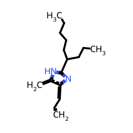 C=C/C=c1/nc(C(CCC)CCCCC)[nH]c1=C